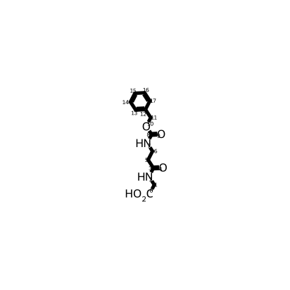 O=C(O)CNC(=O)CCNC(=O)OCc1ccccc1